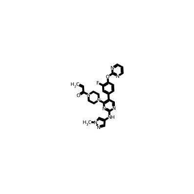 C=CC(=O)N1CCN(c2nc(Nc3cnn(C)c3)ncc2-c2ccc(Oc3ncccn3)c(F)c2)CC1